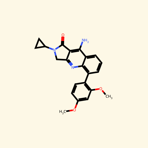 COc1ccc(-c2cccc3c(N)c4c(nc23)CN(C2CC2)C4=O)c(OC)c1